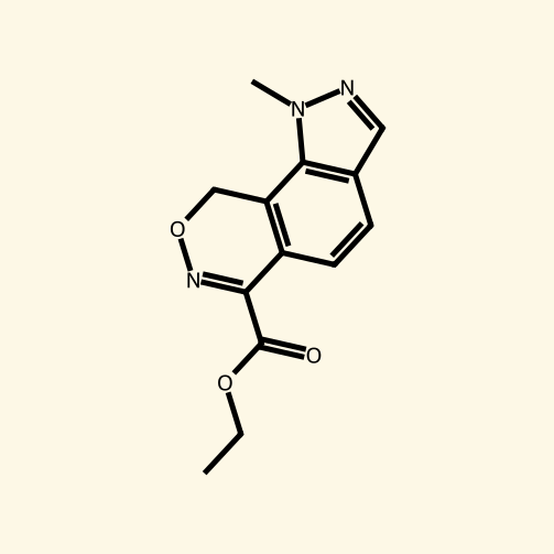 CCOC(=O)C1=NOCc2c1ccc1cnn(C)c21